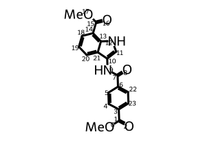 COC(=O)c1ccc(C(=O)Nc2c[nH]c3c(C(=O)OC)cccc23)cc1